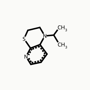 CC(C)N1CCSc2ncccc21